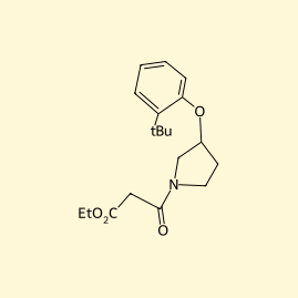 CCOC(=O)CC(=O)N1CCC(Oc2ccccc2C(C)(C)C)C1